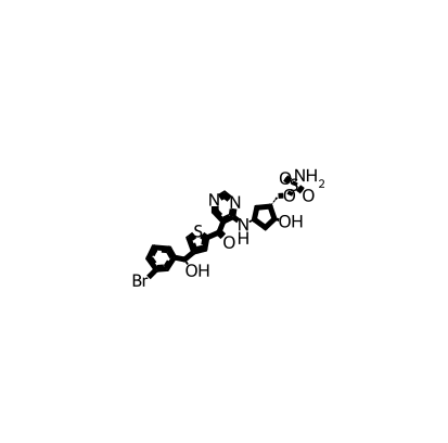 NS(=O)(=O)OC[C@H]1C[C@@H](Nc2ncncc2C(=O)c2cc([C@H](O)c3cccc(Br)c3)cs2)C[C@@H]1O